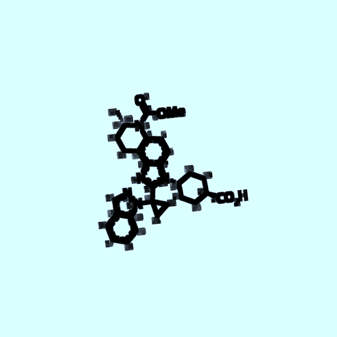 COC(=O)N1c2ccc3c(nc(C4(n5ncc6ccccc65)CC4)n3[C@H]3CC[C@H](C(=O)O)CC3)c2CC[C@@H]1C